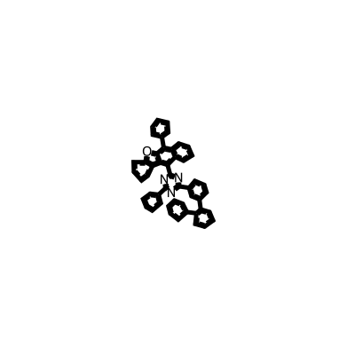 c1ccc(-c2nc(-c3cccc(-c4ccccc4-c4ccccc4)c3)nc(-c3c4ccccc4c(-c4ccccc4)c4oc5ccccc5c34)n2)cc1